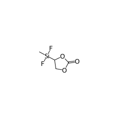 C[Si](F)(F)C1COC(=O)O1